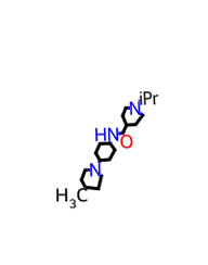 CC1CCN(C2CCC(NC(=O)C3CCN(C(C)C)CC3)CC2)CC1